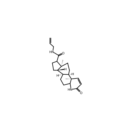 C=CCNC(=O)C1CC[C@H]2[C@@H]3CCC4NC(=O)C=C[C@]4(C)[C@@H]3CC[C@]12C